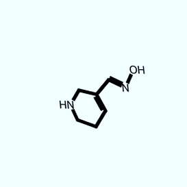 O/N=C/C1=CCCNC1